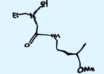 CCN(S)C(=O)NCC(C)OC